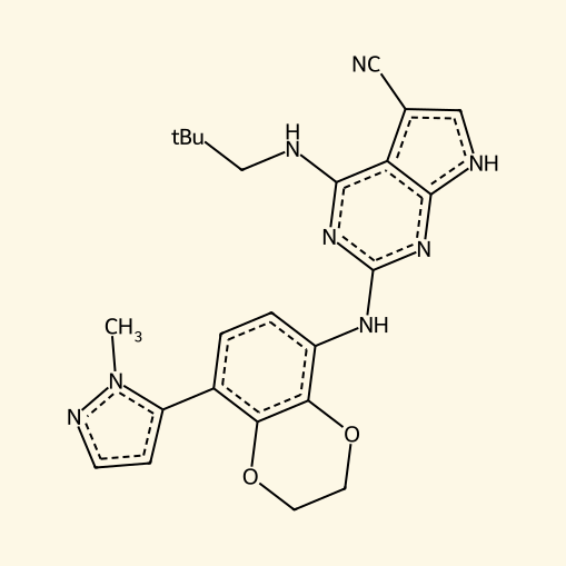 Cn1nccc1-c1ccc(Nc2nc(NCC(C)(C)C)c3c(C#N)c[nH]c3n2)c2c1OCCO2